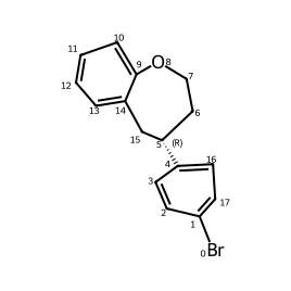 Brc1ccc([C@H]2CCOc3ccccc3C2)cc1